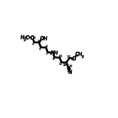 COCC(O)CCCNCCCC(C#N)COC